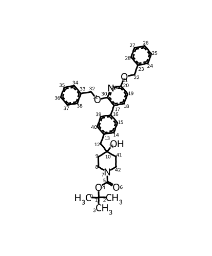 CC(C)(C)OC(=O)N1CCC(O)(Cc2ccc(-c3ccc(OCc4ccccc4)nc3OCc3ccccc3)cc2)CC1